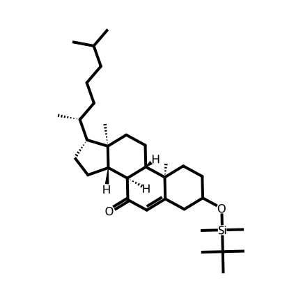 CC(C)CCC[C@@H](C)[C@H]1CC[C@H]2[C@@H]3C(=O)C=C4CC(O[Si](C)(C)C(C)(C)C)CC[C@]4(C)[C@H]3CC[C@]12C